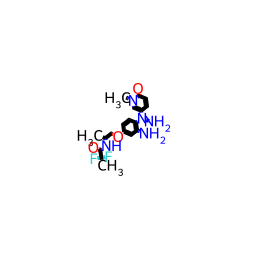 CC(COc1ccc(N(N)c2ccc(=O)n(C)c2)c(N)c1)NC(=O)C(C)(F)F